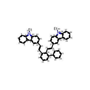 CCn1c2ccccc2c2cc(C=Cc3cccc(-c4ccccc4)c3C=Cc3ccc4c(c3)c3ccccc3n4CC)ccc21